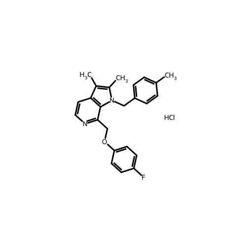 Cc1ccc(Cn2c(C)c(C)c3ccnc(COc4ccc(F)cc4)c32)cc1.Cl